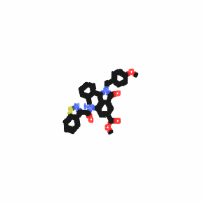 COC(=O)c1cc(NC(=O)c2nsc3ccccc23)c2c(c1)C(=O)N(Cc1ccc(OC)cc1)C2c1ccccc1C